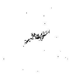 COCCOCCOCCOC(=O)CS.[SbH3]